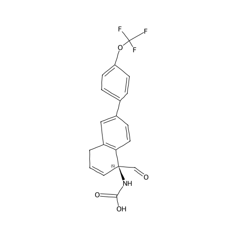 O=C[C@]1(NC(=O)O)C=CCc2cc(-c3ccc(OC(F)(F)F)cc3)ccc21